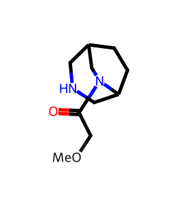 COCC(=O)N1CC2CCC1CNC2